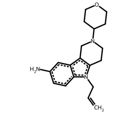 C=CCn1c2c(c3cc(N)ccc31)CN(C1CCOCC1)CC2